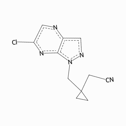 N#CCC1(Cn2ncc3ncc(Cl)nc32)CC1